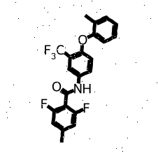 Cc1cc(F)c(C(=O)Nc2ccc(Oc3ccccc3C)c(C(F)(F)F)c2)c(F)c1